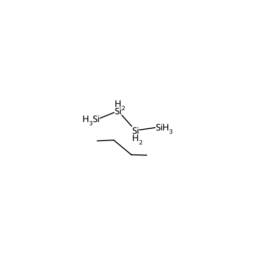 CCCC.[SiH3][SiH2][SiH2][SiH3]